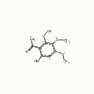 COc1cc(O)c(C(=O)O)c(OC)c1OC